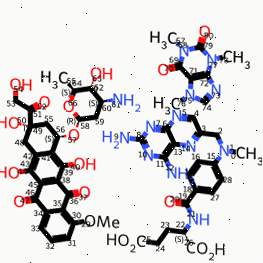 CN(Cc1cnc2nc(N)nc(N)c2n1)c1ccc(C(=O)N[C@@H](CCC(=O)O)C(=O)O)cc1.COc1cccc2c1C(=O)c1c(O)c3c(c(O)c1C2=O)C[C@@](O)(C(=O)CO)C[C@@H]3O[C@H]1C[C@H](N)[C@@H](O)[C@H](C)O1.Cn1c(=O)c2c(ncn2C)n(C)c1=O